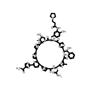 Cc1sc2nc1C(=O)N[C@@H]([C@H](O)c1ccccc1)c1nc(cs1)C(=O)N[C@@H](Cc1ccc(O)c(NC(=O)CCN3CCCC3)c1)C(=O)N1C[C@H](O)[C@H](C)[C@H]1c1nc(cs1)-c1nc(cs1)-c1nc(-c3nc(C(N)=O)cs3)ccc1-c1nc(cs1)C(=O)N[C@H]2CC(N)=O